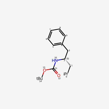 CC(C)C[C@@H](Cc1ccccc1)NC(=O)OC(C)(C)C